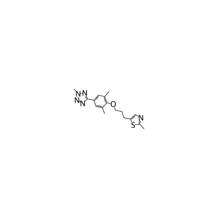 Cc1ncc(CCCOc2c(C)cc(-c3nnn(C)n3)cc2C)s1